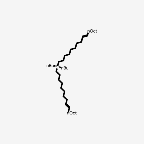 CCCCCCCCC=CCCCCCCC[CH2][Sn]([CH2]CCC)([CH2]CCC)[CH2]CCCCCCCC=CCCCCCCCC